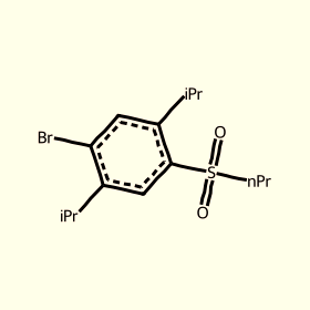 CCCS(=O)(=O)c1cc(C(C)C)c(Br)cc1C(C)C